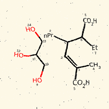 CCCC(C=C(C)C(=O)O)C(CC)C(=O)O.OCC(O)CO